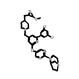 COC1OC1CC1CCN(Cc2cc(Oc3cnc(N4CCN5CCC4C5)nc3)nc(-c3cc(Cl)cc(Cl)c3)c2)CC1